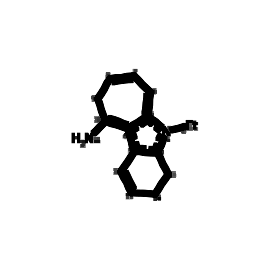 CCn1c2c(c3c1=CC=CCC=3N)C=CCC2